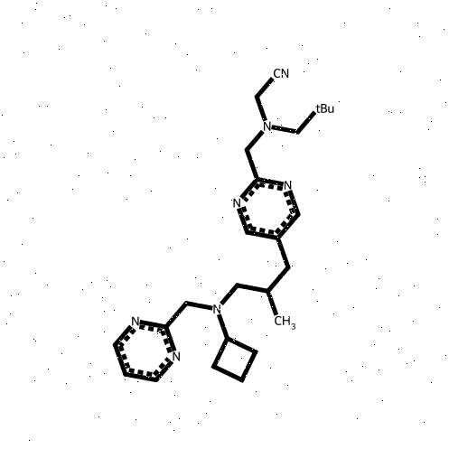 CC(Cc1cnc(CN(CC#N)CC(C)(C)C)nc1)CN(Cc1ncccn1)C1CCC1